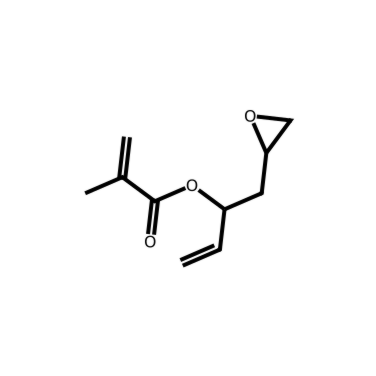 C=CC(CC1CO1)OC(=O)C(=C)C